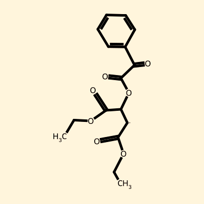 CCOC(=O)[CH]C(OC(=O)C(=O)c1ccccc1)C(=O)OCC